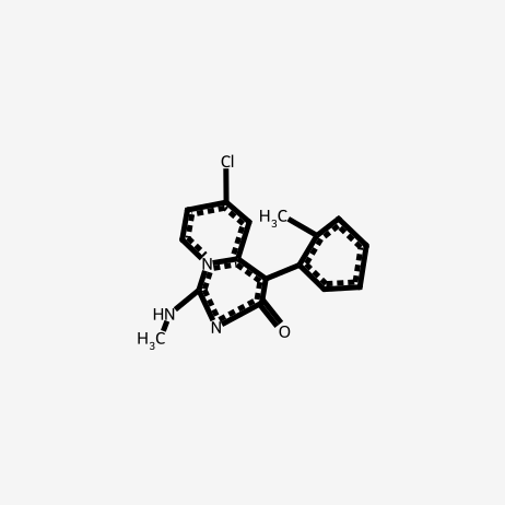 CNc1nc(=O)c(-c2ccccc2C)c2cc(Cl)ccn12